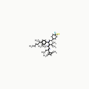 C=C\C(=C/C(C)=C(/C(=C\CC1CCC(F)(S)CC1)c1ccc(C(C)CCCC)c(C)c1)C(C)C)C1=C(C)C=C1C